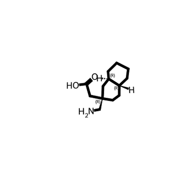 NC[C@]1(CC(=O)O)CC[C@H]2CCCC[C@@H]2C1